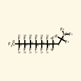 FN(F)C(F)(F)CC(F)(F)C(F)(F)C(F)(F)C(F)(F)C(F)(F)C(F)(F)C(F)(F)C(F)(F)F